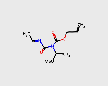 C=CCOC(=O)N(C(=O)N=CC)C(C)OC